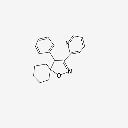 c1ccc(C2C(c3ccccn3)=NOC23CCCCC3)cc1